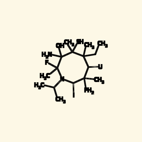 CCC1(C)[CH]([U])C(C)(P)C(I)N(C(C)C)C(C)(F)C(N)(O)C1(C)S